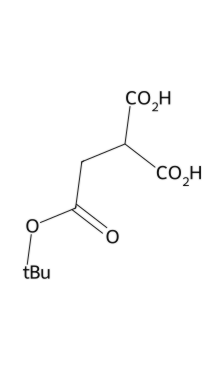 CC(C)(C)OC(=O)CC(C(=O)O)C(=O)O